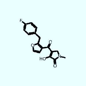 CN1CC(C(=O)c2ccoc2Cc2ccc(F)cc2)=C(O)C1=O